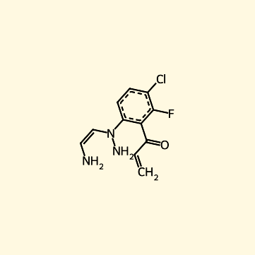 C=CC(=O)c1c(N(N)/C=C\N)ccc(Cl)c1F